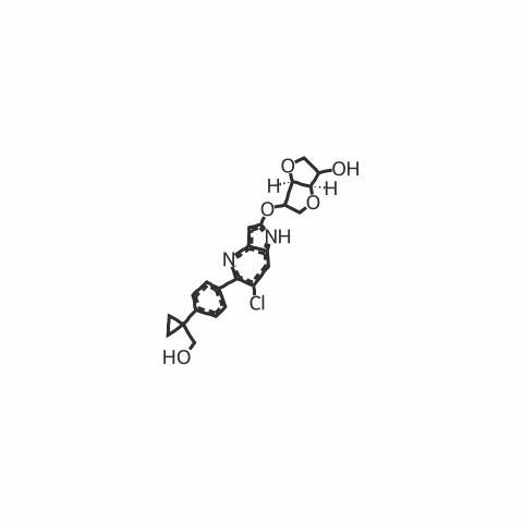 OCC1(c2ccc(-c3nc4cc(OC5CO[C@@H]6C(O)CO[C@H]56)[nH]c4cc3Cl)cc2)CC1